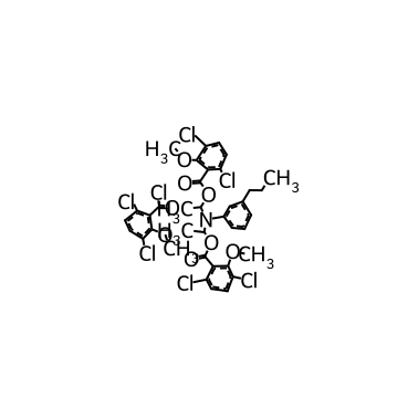 CCCc1cccc(N(C(C)OC(=O)c2c(Cl)ccc(Cl)c2OC)C(C)OC(=O)c2c(Cl)ccc(Cl)c2OC)c1.COc1c(Cl)ccc(Cl)c1C(=O)Cl